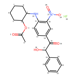 CC(=O)OC1CCCCC1Nc1ccc(C(=O)C(O)c2ccccc2)cc1[N+](=O)[O-].F